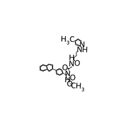 COC(=O)CC(NC(=O)CNC(=O)CCCNc1cc(C)ccn1)c1ccc(-c2ccc3ccccc3c2)cc1